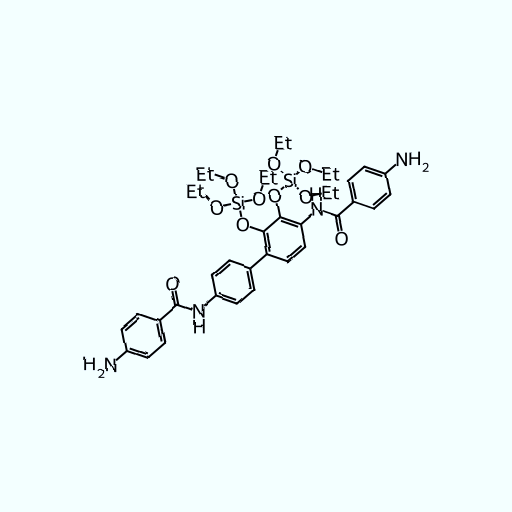 CCO[Si](OCC)(OCC)Oc1c(NC(=O)c2ccc(N)cc2)ccc(-c2ccc(NC(=O)c3ccc(N)cc3)cc2)c1O[Si](OCC)(OCC)OCC